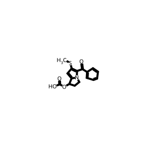 CSc1cc2n(c1C(=O)c1ccccc1)CCC2OC(=O)O